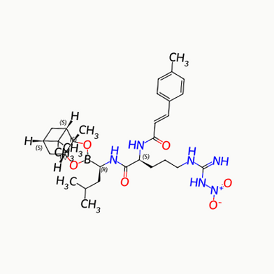 Cc1ccc(C=CC(=O)N[C@@H](CCCNC(=N)N[N+](=O)[O-])C(=O)N[C@@H](CC(C)C)B2O[C@@H]3C[C@@H]4C[C@@H](C4(C)C)[C@]3(C)O2)cc1